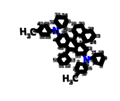 Cc1ccc(N(c2ccccc2)c2ccc3c(-c4cccc5ccccc45)c4cc(N(c5ccccc5)c5ccc(C)cc5)ccc4c(-c4ccccc4)c3c2)cc1